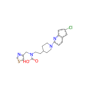 O=C(O)N(CCC1CCN(c2ccc3cc(Cl)ccc3n2)CC1)Cc1cscn1